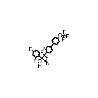 N#CC(O)(c1ccc(F)cc1F)C(F)(F)c1ccc(-c2ccc(OC(F)(F)F)cc2)cn1